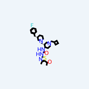 CC(=O)c1sc(NC(=O)N[C@@H]2CCN(CC3CCC3)C[C@H]2CN2CCC[C@@H](Cc3ccc(F)cc3)C2)nc1C